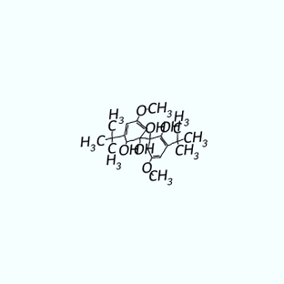 COC1=CC(O)(C2(O)CC(OC)=CC(C(C)(C)C)=C2O)C(O)C(C(C)(C)C)=C1